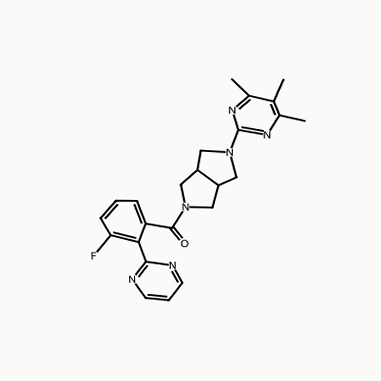 Cc1nc(N2CC3CN(C(=O)c4cccc(F)c4-c4ncccn4)CC3C2)nc(C)c1C